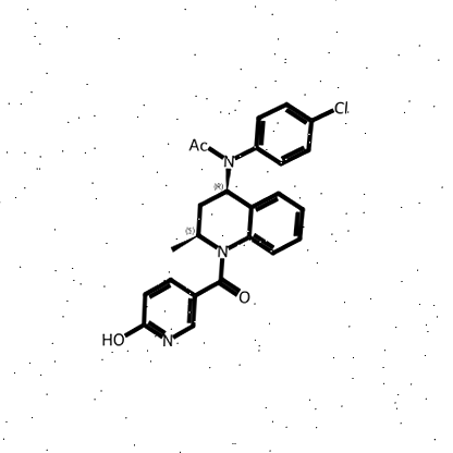 CC(=O)N(c1ccc(Cl)cc1)[C@@H]1C[C@H](C)N(C(=O)c2ccc(O)nc2)c2ccccc21